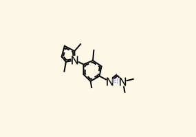 Cc1cc(-n2c(C)ccc2C)c(C)cc1/N=C/N(C)C